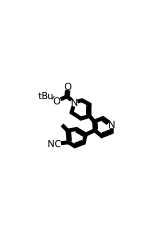 Cc1cc(-c2ccncc2C2=CCN(C(=O)OC(C)(C)C)CC2)ccc1C#N